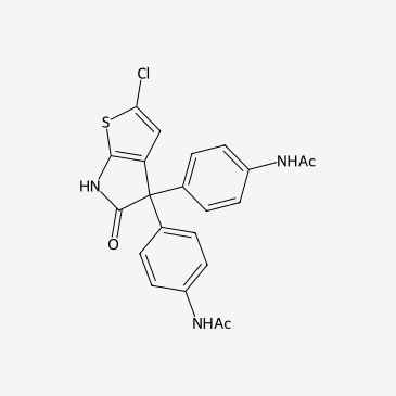 CC(=O)Nc1ccc(C2(c3ccc(NC(C)=O)cc3)C(=O)Nc3sc(Cl)cc32)cc1